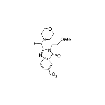 COCCn1c(C(F)N2CCOCC2)nc2ccc([N+](=O)[O-])cc2c1=O